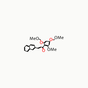 COCOc1cc(OC)c(C(=O)/C=C/c2ccc3ccccc3c2)c(OCOC)c1